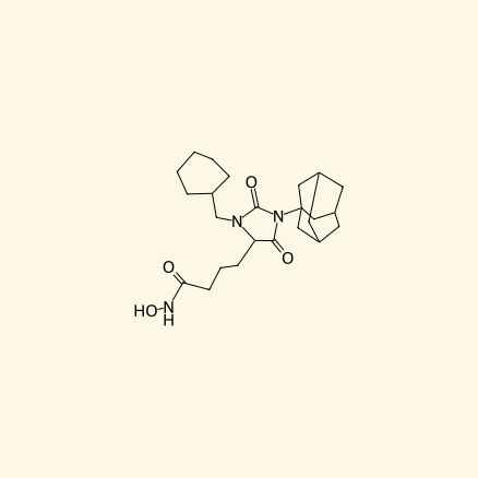 O=C(CCCC1C(=O)N(C23CC4CC(CC(C4)C2)C3)C(=O)N1CC1CCCCC1)NO